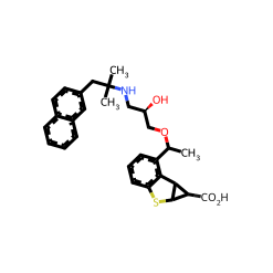 CC(OC[C@H](O)CNC(C)(C)Cc1ccc2ccccc2c1)c1cccc2c1C1C(S2)C1C(=O)O